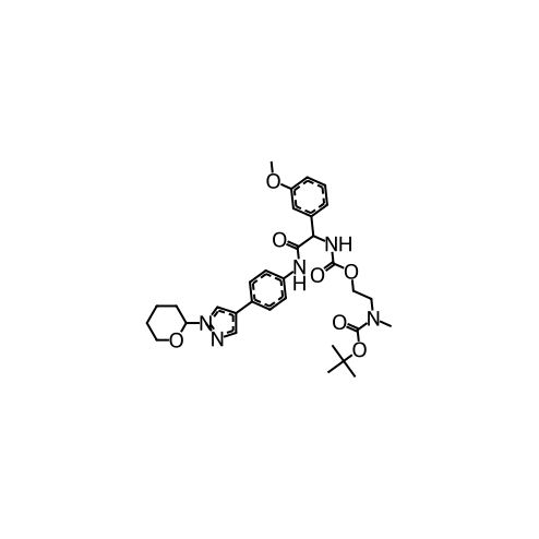 COc1cccc(C(NC(=O)OCCN(C)C(=O)OC(C)(C)C)C(=O)Nc2ccc(-c3cnn(C4CCCCO4)c3)cc2)c1